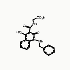 O=C(O)CNC(=O)c1c(O)c2ccccc2n(NCc2ccccc2)c1=O